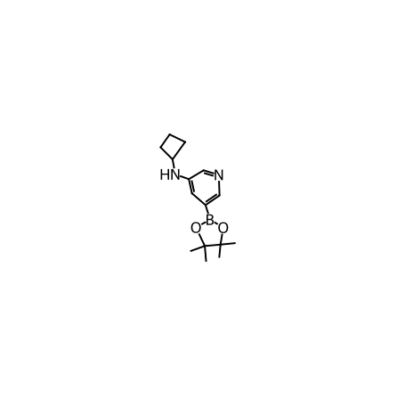 CC1(C)OB(c2cncc(NC3CCC3)c2)OC1(C)C